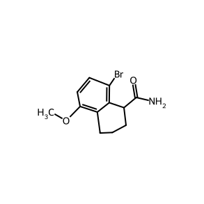 COc1ccc(Br)c2c1CCCC2C(N)=O